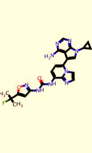 CC(C)(F)c1cc(NC(=O)Nc2ccc(-c3cn(C4CC4)c4ncnc(N)c34)n3ccnc23)no1